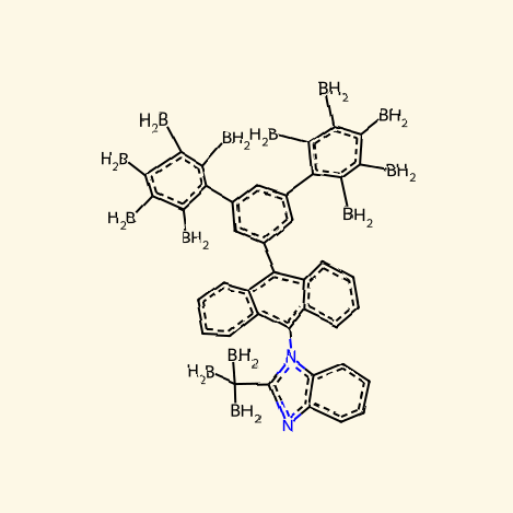 Bc1c(B)c(B)c(-c2cc(-c3c(B)c(B)c(B)c(B)c3B)cc(-c3c4ccccc4c(-n4c(C(B)(B)B)nc5ccccc54)c4ccccc34)c2)c(B)c1B